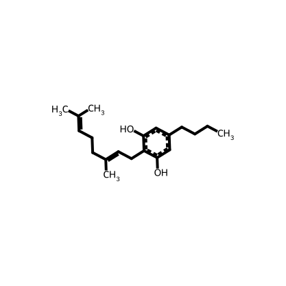 CCCCc1cc(O)c(C/C=C(\C)CCC=C(C)C)c(O)c1